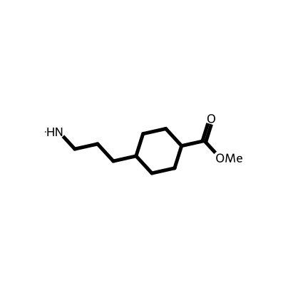 COC(=O)C1CCC(CCC[NH])CC1